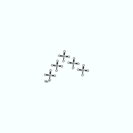 [Nb+5].[O]=[Mn](=[O])(=[O])[O-].[O]=[Mn](=[O])(=[O])[O-].[O]=[Mn](=[O])(=[O])[O-].[O]=[Mn](=[O])(=[O])[O-].[O]=[Mn](=[O])(=[O])[O-]